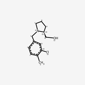 Cc1ccc(CN2CCC[C@H]2CO)cc1Cl